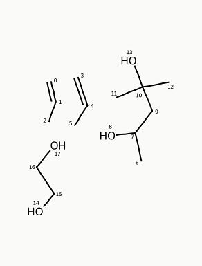 C=CC.C=CC.CC(O)CC(C)(C)O.OCCO